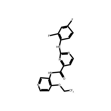 O=C(Nc1cnccc1OCC(F)(F)F)c1ccnc(Nc2ccc(F)cc2F)n1